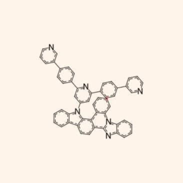 c1cncc(-c2ccc(-c3cc(-n4c5ccccc5c5ccc6c(c7ccccc7n7c8ccccc8nc67)c54)cc(-c4ccc(-c5cccnc5)cc4)n3)cc2)c1